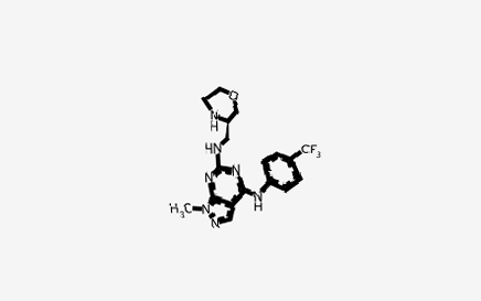 Cn1ncc2c(Nc3ccc(C(F)(F)F)cc3)nc(NC[C@@H]3COCCN3)nc21